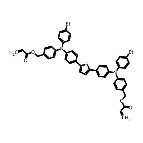 C=CC(=O)OCc1ccc(N(c2ccc(CC)cc2)c2ccc(-c3ccc(-c4ccc(N(c5ccc(CC)cc5)c5ccc(COC(=O)C=C)cc5)cc4)s3)cc2)cc1